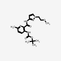 COCCn1ccc(NC(=O)c2nc(C)ccc2NC(=O)OC(C)(C)C)n1